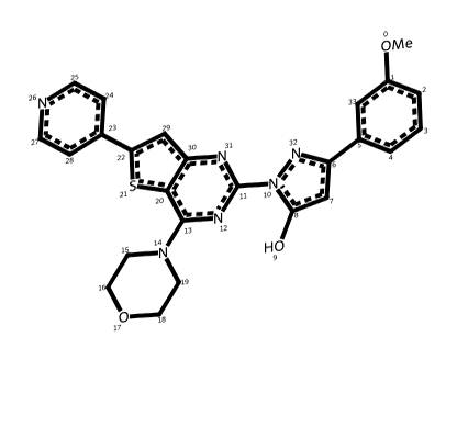 COc1cccc(-c2cc(O)n(-c3nc(N4CCOCC4)c4sc(-c5ccncc5)cc4n3)n2)c1